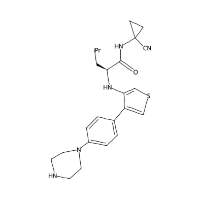 CC(C)C[C@H](Nc1cscc1-c1ccc(N2CCNCC2)cc1)C(=O)NC1(C#N)CC1